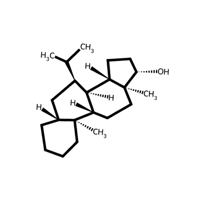 CC(C)[C@@H]1C[C@H]2CCCC[C@]2(C)[C@H]2CC[C@]3(C)[C@@H](O)CC[C@H]3[C@H]12